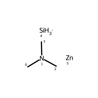 CN(C)C.[SiH3].[Zn]